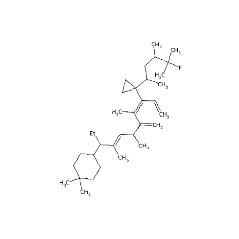 C=C/C(=C(/C)C(=C)C(C)/C=C(\C)C(CC)C1CCC(C)(C)CC1)C1(C(C)CC(C)C(C)(C)F)CC1